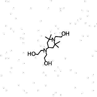 CC1(C)CC(N(CCO)CCO)CC(C)(C)N1CCO